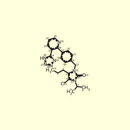 CCCc1c(Cl)n(C(C)C)c(=O)n1Cc1ccc(-c2ncccc2-c2nnn[nH]2)cc1